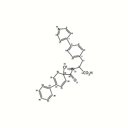 O=C(O)C(Cc1ccc(-c2ccncc2)cc1)NC(=O)C1(C(F)(F)F)C=CC(c2ccccc2)=CC1